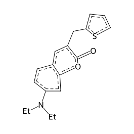 CCN(CC)c1ccc2cc(Cc3cccs3)c(=O)oc2c1